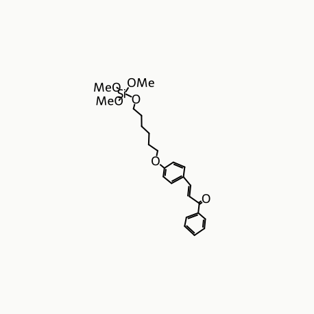 CO[Si](OC)(OC)OCCCCCCOc1ccc(C=CC(=O)c2ccccc2)cc1